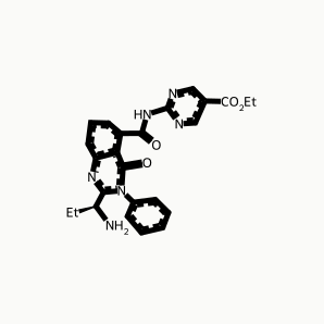 CCOC(=O)c1cnc(NC(=O)c2cccc3nc([C@@H](N)CC)n(-c4ccccc4)c(=O)c23)nc1